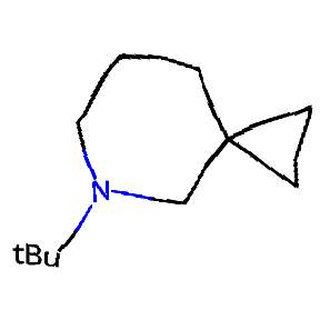 CC(C)(C)N1CCCC2(CC2)C1